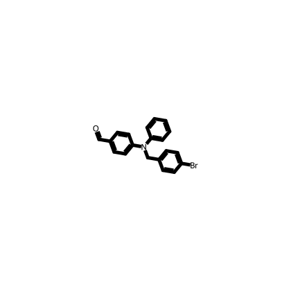 O=Cc1ccc(N(Cc2ccc(Br)cc2)c2ccccc2)cc1